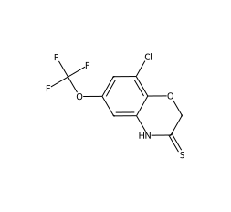 FC(F)(F)Oc1cc(Cl)c2c(c1)NC(=S)CO2